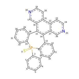 S=P1(c2ccccc2)c2ccccc2-c2c(c3cnccc3c3ccncc23)-c2ccccc21